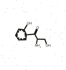 NC(CO)C(=O)c1ccccc1O